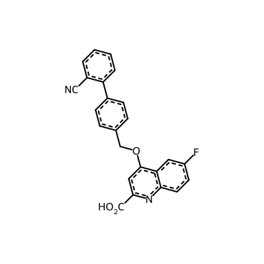 N#Cc1ccccc1-c1ccc(COc2cc(C(=O)O)nc3ccc(F)cc23)cc1